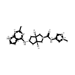 Cc1nc(N[C@@H]2C[C@@H]3CN(C(=O)Nc4cnn(C)c4)C[C@@H]3C2)c2cc[nH]c2n1